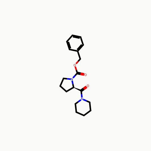 O=C([C@H]1CCCN1C(=O)OCc1ccccc1)N1CCCCC1